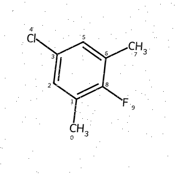 Cc1cc(Cl)cc(C)c1F